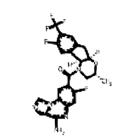 C[C@@H]1CN(C(=O)c2cc3c(cc2F)nc(N)c2cncn23)[C@H]2c3cc(F)c(C(F)(F)F)cc3C[C@H]2O1